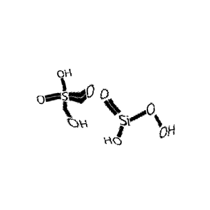 O=S(=O)(O)O.O=[Si](O)OO